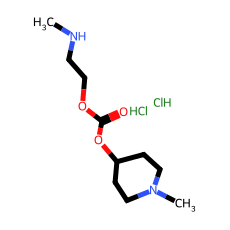 CNCCOC(=O)OC1CCN(C)CC1.Cl.Cl